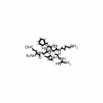 CC(=O)N[C@@H](CCC=O)C(=O)N[C@@H](Cc1c[nH]cn1)C(=O)N[C@H](Cc1ccccc1)C(=O)N[C@@H](CCCNC(=N)N)C(=O)NCCCCN